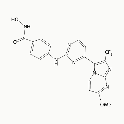 COc1ccn2c(-c3ccnc(Nc4ccc(C(=O)NO)cc4)n3)c(C(F)(F)F)nc2n1